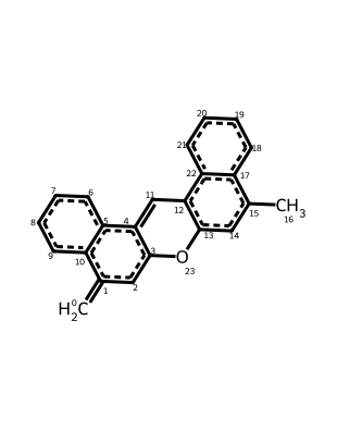 C=c1cc2c(c3ccccc13)=Cc1c(cc(C)c3ccccc13)O2